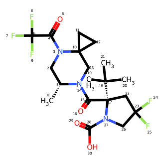 C[C@@H]1CN(C(=O)C(F)(F)F)C2(CC2)CN1C(=O)[C@@]1(C(C)(C)C)CC(F)(F)CN1C(=O)O